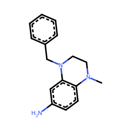 CN1CCN(Cc2ccccc2)c2cc(N)ccc21